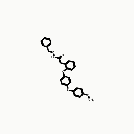 COc1ccc(Oc2ccc(Sc3ccccc3CC(=O)NOCc3ccccc3)cc2)cc1